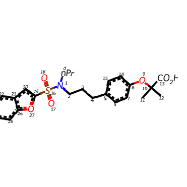 CCCN(CCCc1ccc(OC(C)(C)C(=O)O)cc1)S(=O)(=O)c1cc2ccccc2o1